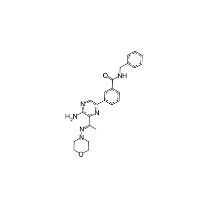 C/C(=N\N1CCOCC1)c1nc(-c2cccc(C(=O)NCc3ccccc3)c2)cnc1N